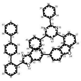 c1ccc(-c2ccc(-c3ccccc3-c3nc4ccc(-c5ccc6oc7cccc(-c8nc(-c9ccccc9)nc(-c9ccccc9)n8)c7c6c5)cc4o3)cc2)cc1